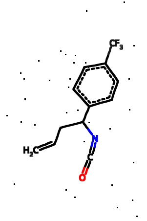 C=CCC(N=C=O)c1ccc(C(F)(F)F)cc1